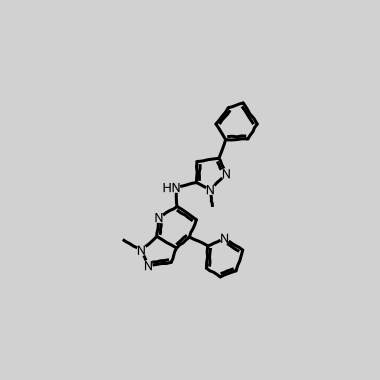 Cn1nc(-c2ccccc2)cc1Nc1cc(-c2ccccn2)c2cnn(C)c2n1